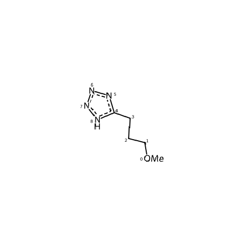 [CH2]OCCCc1nnn[nH]1